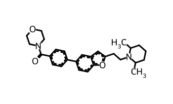 CC1CCCC(C)N1CCc1cc2cc(-c3ccc(C(=O)N4CCOCC4)cc3)ccc2o1